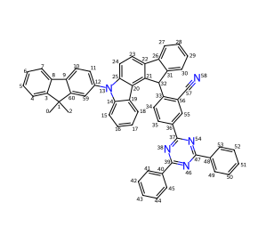 CC1(C)c2ccccc2-c2ccc(-n3c4ccccc4c4c5c(ccc43)-c3ccccc3C5c3ccc(-c4nc(-c5ccccc5)nc(-c5ccccc5)n4)cc3C#N)cc21